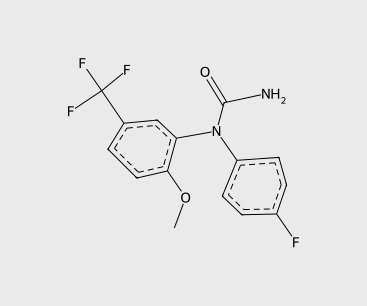 COc1ccc(C(F)(F)F)cc1N(C(N)=O)c1ccc(F)cc1